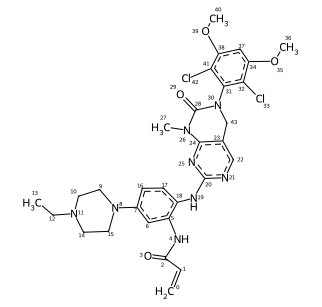 C=CC(=O)Nc1cc(N2CCN(CC)CC2)ccc1Nc1ncc2c(n1)N(C)C(=O)N(c1c(Cl)c(OC)cc(OC)c1Cl)C2